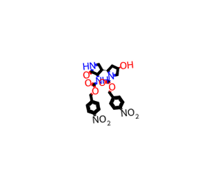 O=C(NC1C(=O)NCC1[C@@H]1C[C@@H](O)CN1C(=O)OCc1ccc([N+](=O)[O-])cc1)OCc1ccc([N+](=O)[O-])cc1